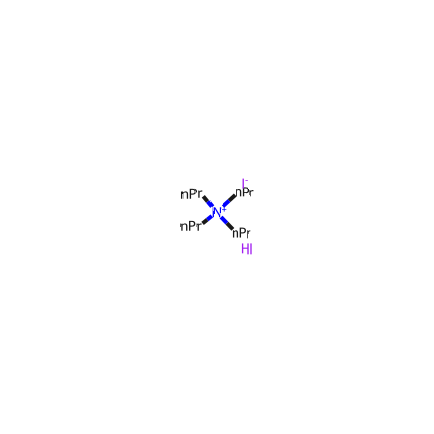 CCC[N+](CCC)(CCC)CCC.I.[I-]